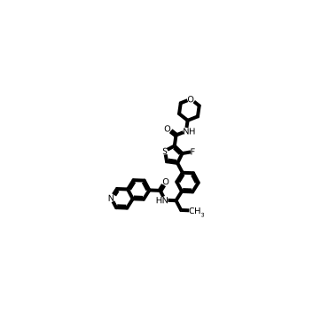 CCC(NC(=O)c1ccc2cnccc2c1)c1cccc(-c2csc(C(=O)NC3CCOCC3)c2F)c1